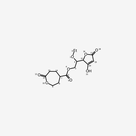 CCOC(COC(=O)C1CCOC(=O)CC1)C1OC(=O)C=C1O